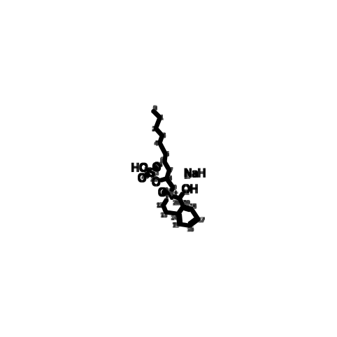 CCCCCCCCC(C[N+]1([O-])CCc2ccccc2C1O)OS(=O)(=O)O.[NaH]